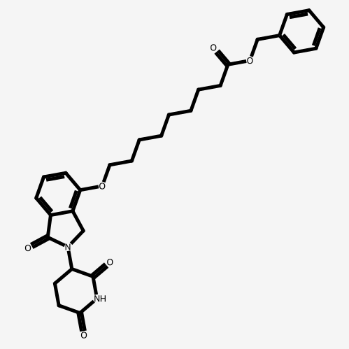 O=C1CCC(N2Cc3c(OCCCCCCCCC(=O)OCc4ccccc4)cccc3C2=O)C(=O)N1